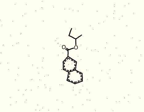 CCC(C)OC(=O)c1c[c]c2ccccc2c1